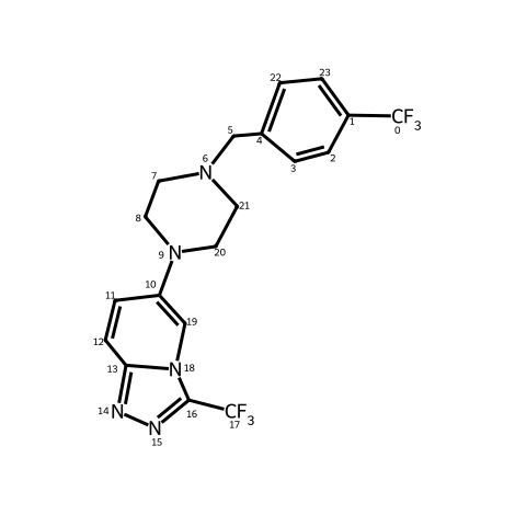 FC(F)(F)c1ccc(CN2CCN(c3ccc4nnc(C(F)(F)F)n4c3)CC2)cc1